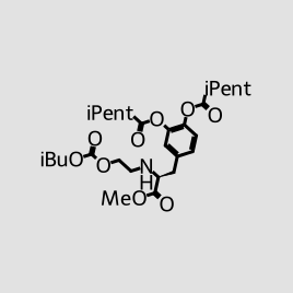 CCCC(C)C(=O)Oc1ccc(C[C@H](NCCOC(=O)OCC(C)C)C(=O)OC)cc1OC(=O)C(C)CCC